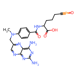 CN(Cc1cnc2nc(N)nc(N)c2n1)c1ccc(C(=O)NC(CCCC#P=O)C(=O)O)cc1